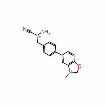 CN1COc2ccc(-c3ccc(C[C@H](N)C#N)cc3)cc21